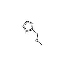 [CH2]OCc1cccs1